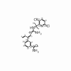 C=C/C(=C\N=C(/N)NC(C)(C)c1nc(Cl)ccc1Cl)c1cccc(C(N)=O)c1